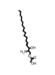 CCCCCCCCCCCCCC=CC(O)C(N)COC(=O)CO